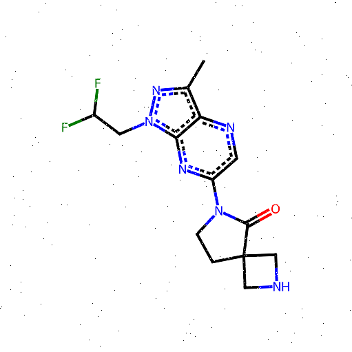 Cc1nn(CC(F)F)c2nc(N3CCC4(CNC4)C3=O)cnc12